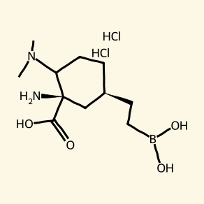 CN(C)C1CC[C@@H](CCB(O)O)C[C@]1(N)C(=O)O.Cl.Cl